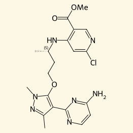 COC(=O)c1cnc(Cl)cc1N[C@@H](C)CCOc1c(-c2nccc(N)n2)c(C)nn1C